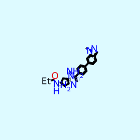 CCC(=O)N[C@H]1CC[C@@H](N(N)/C(=C\N)c2ccc(-c3ccc4cnn(C)c4c3)cc2)C1